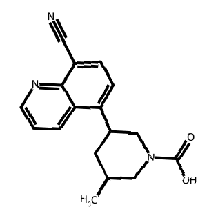 CC1CC(c2ccc(C#N)c3ncccc23)CN(C(=O)O)C1